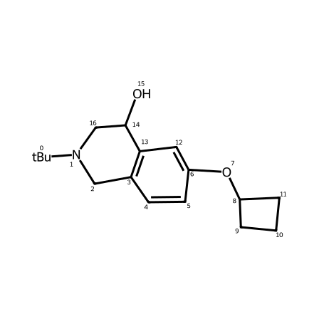 CC(C)(C)N1Cc2ccc(OC3CCC3)cc2C(O)C1